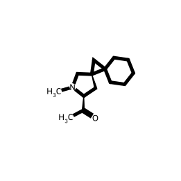 CC(=O)[C@@H]1C[C@@]2(CN1C)CC21CCCCC1